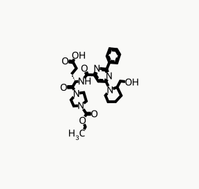 CCOC(=O)N1CCN(C(=O)[C@H](CCC(=O)O)NC(=O)c2cc(N3CCCCC3CO)nc(-c3ccccc3)n2)CC1